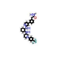 CNC(=O)Cc1cccc(-c2ccnc(N[C@@H]3CCCC[C@H]3N[C@H]3CCCN(c4ccc(C(F)(F)F)cc4)C3)c2)c1